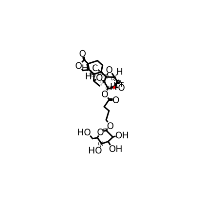 CC(C)[C@]12O[C@H]1[C@@H]1O[C@@]13[C@@]1(C)CCC4=C(COC4=O)[C@@H]1C1C[C@@]3(O1)[C@@H]2OC(=O)CCCO[C@@H]1OC(CO)[C@@H](O)C(O)C1O